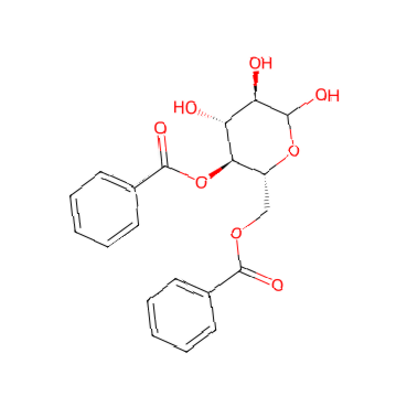 O=C(OC[C@H]1OC(O)[C@H](O)[C@@H](O)[C@@H]1OC(=O)c1ccccc1)c1ccccc1